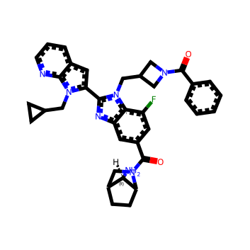 N[C@@H]1C2CCC1N(C(=O)c1cc(F)c3c(c1)nc(-c1cc4cccnc4n1CC1CC1)n3CC1CN(C(=O)c3ccccc3)C1)C2